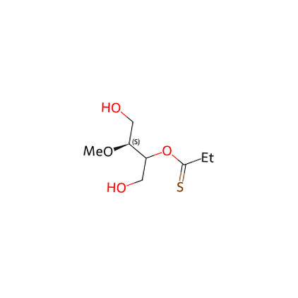 CCC(=S)OC(CO)[C@H](CO)OC